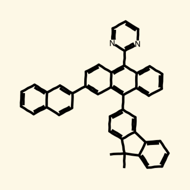 CC1(C)c2ccccc2-c2cc(-c3c4ccccc4c(-c4ncccn4)c4ccc(-c5ccc6ccccc6c5)cc34)ccc21